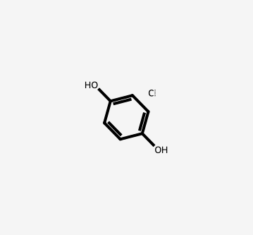 Oc1ccc(O)cc1.[C]